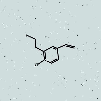 C=Cc1ccc(Cl)c(CCC)c1